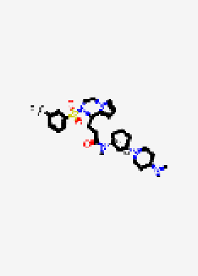 CN(C)C1CCN([C@H]2CCC[C@@H](N(C)C(=O)CCC3c4cccn4CCN3S(=O)(=O)c3cccc(C(F)(F)F)c3)C2)CC1